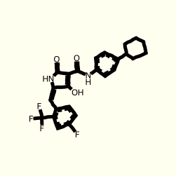 O=C1N/C(=C/c2ccc(F)cc2C(F)(F)F)C(O)=C1C(=O)Nc1ccc(C2CCCCC2)cc1